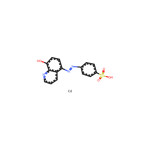 O=S(=O)(O)c1ccc(N=Nc2ccc(O)c3ncccc23)cc1.[Cd]